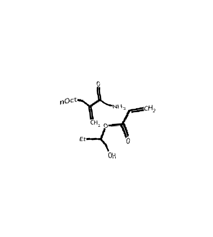 C=C(CCCCCCCC)C(N)=O.C=CC(=O)OC(O)CC